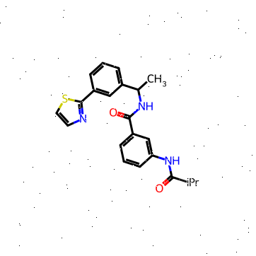 CC(C)C(=O)Nc1cccc(C(=O)NC(C)c2cccc(-c3nccs3)c2)c1